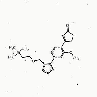 COc1cc(-c2nccn2COCC[Si](C)(C)C)ccc1C1=CC(=O)CC1